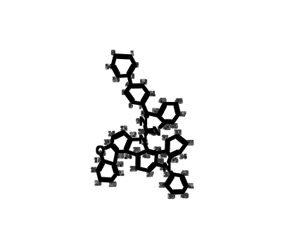 c1ccc(-c2ccc(-c3nc(-n4c5ccc6oc7ccccc7c6c5c5ccc6c(c7ccccc7n6-c6ccccc6)c54)nc4ccccc34)cc2)cc1